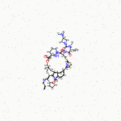 C=C/C=N\C(=C\c1c2c3cc(ccc3n1CC)-c1csc(n1)C[C@H](NC(=O)[C@H](C(C)C)N(C)C(=O)N1CC(N(C)C)C1)C(=O)N1CCC[C@H](N1)C(=O)OCC(C)(C)C2)[C@@H]1CCCO1